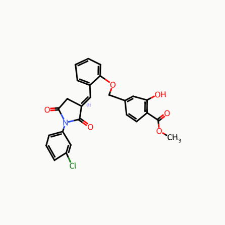 COC(=O)c1ccc(COc2ccccc2/C=C2\CC(=O)N(c3cccc(Cl)c3)C2=O)cc1O